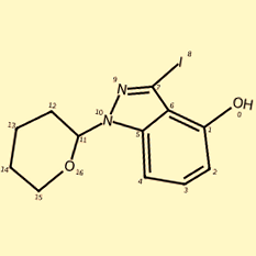 Oc1cccc2c1c(I)nn2C1CCCCO1